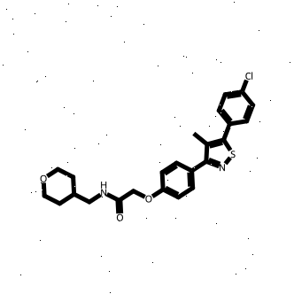 Cc1c(-c2ccc(OCC(=O)NCC3CCOCC3)cc2)nsc1-c1ccc(Cl)cc1